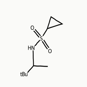 CC(NS(=O)(=O)C1CC1)C(C)(C)C